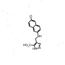 O=C(O)c1[nH]nnc1CNc1ccc2cc(Cl)ccc2c1